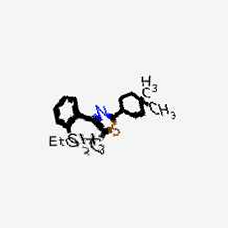 CCOC(=O)c1sc(C2CCC(C)(C)CC2)nc1-c1ccccc1C